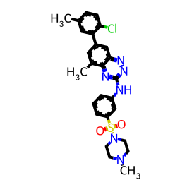 Cc1ccc(Cl)c(-c2cc(C)c3nc(Nc4cccc(S(=O)(=O)N5CCN(C)CC5)c4)nnc3c2)c1